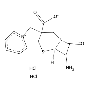 Cl.Cl.NC1C(=O)N2CC(C[n+]3ccccc3)(C(=O)[O-])CS[C@H]12